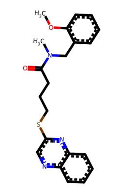 COc1ccccc1CN(C)C(=O)CCCSc1cnc2ccccc2n1